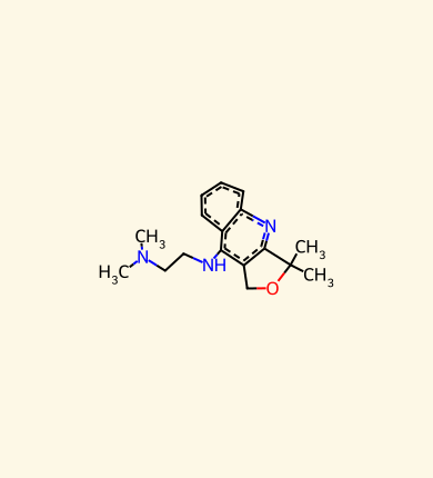 CN(C)CCNc1c2c(nc3ccccc13)C(C)(C)OC2